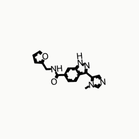 Cn1cncc1-c1n[nH]c2cc(C(=O)NCc3ccco3)ccc12